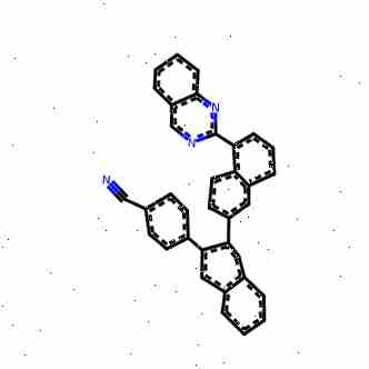 N#Cc1ccc(-c2cc3ccccc3cc2-c2ccc3c(-c4ncc5ccccc5n4)cccc3c2)cc1